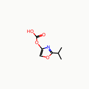 CC(C)c1nc(OC(=O)O)co1